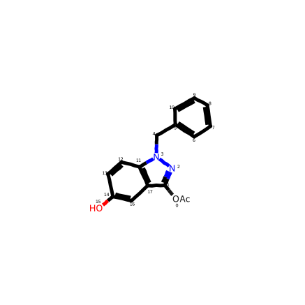 CC(=O)Oc1nn(Cc2ccccc2)c2ccc(O)cc12